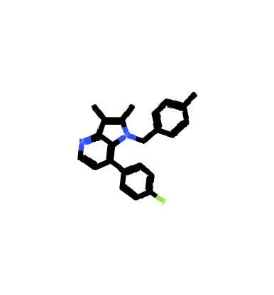 Cc1ccc(Cn2c(C)c(C)c3nccc(-c4ccc(F)cc4)c32)cc1